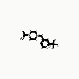 CC(=O)N1CCN(Cc2ccnc(C(C)(C)C)c2)CC1